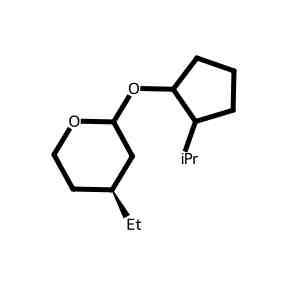 CC[C@H]1CCOC(OC2CCCC2C(C)C)C1